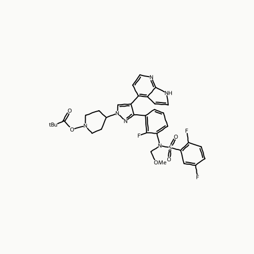 COCN(c1cccc(-c2nn(C3CCN(OC(=O)C(C)(C)C)CC3)cc2-c2ccnc3[nH]ccc23)c1F)S(=O)(=O)c1cc(F)ccc1F